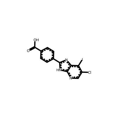 O=C(O)c1ccc(-c2nc3c(I)c(Cl)cnc3[nH]2)cc1